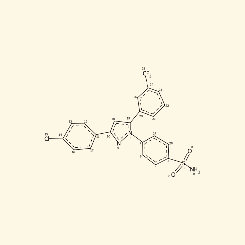 NS(=O)(=O)c1ccc(-n2nc(-c3ccc(Cl)cc3)cc2-c2cccc(C(F)(F)F)c2)cc1